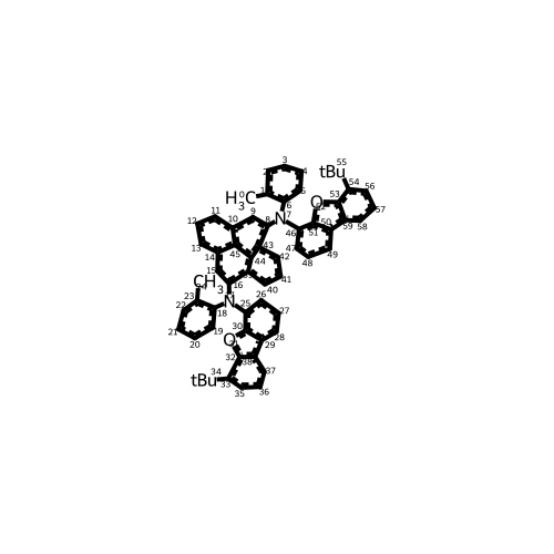 Cc1ccccc1N(c1cc2cccc3cc(N(c4ccccc4C)c4cccc5c4oc4c(C(C)(C)C)cccc45)c4cccc1c4c23)c1cccc2c1oc1c(C(C)(C)C)cccc12